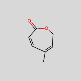 CC1=CCOC(=O)C=C1